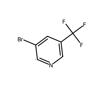 FC(F)(F)c1cn[c]c(Br)c1